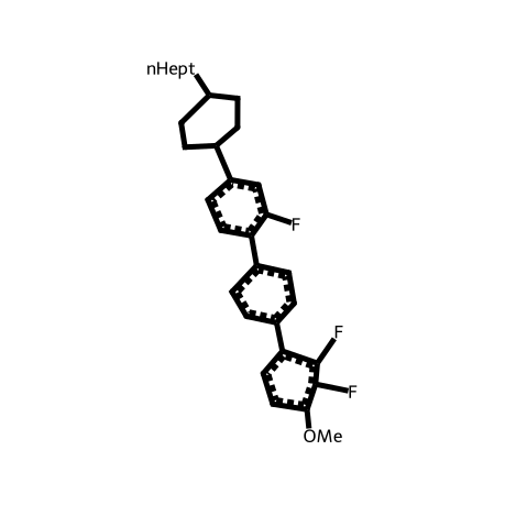 CCCCCCCC1CCC(c2ccc(-c3ccc(-c4ccc(OC)c(F)c4F)cc3)c(F)c2)CC1